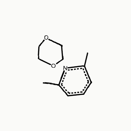 C1COCCO1.Cc1cccc(C)n1